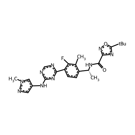 Cc1c([C@@H](C)NC(=O)c2noc(C(C)(C)C)n2)ccc(-c2ncnc(Nc3cnn(C)c3)n2)c1F